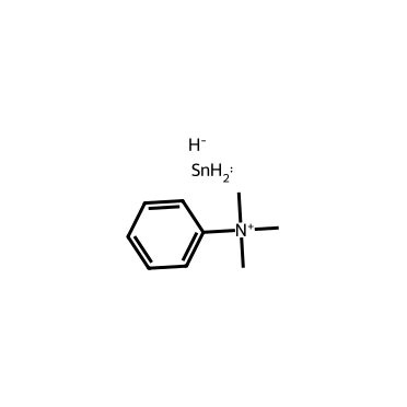 C[N+](C)(C)c1ccccc1.[H-].[SnH2]